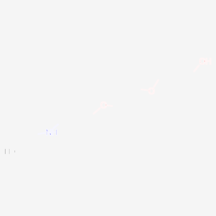 CCNCCOCCOCCO